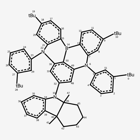 CC(C)(C)c1cccc(N2c3cc(C(C)(C)C)ccc3B3c4ccc(C(C)(C)C)cc4N(c4cccc(C(C)(C)C)c4)c4cc(N5c6ccccc6C6(C)CCCCC56C)cc2c43)c1